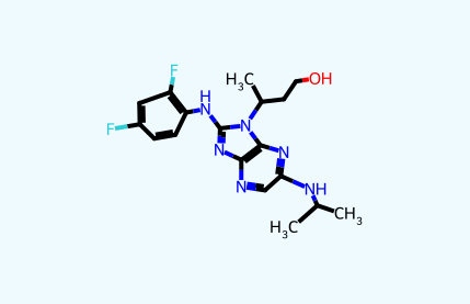 CC(C)Nc1cnc2nc(Nc3ccc(F)cc3F)n(C(C)CCO)c2n1